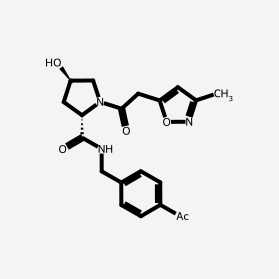 CC(=O)c1ccc(CNC(=O)[C@@H]2C[C@@H](O)CN2C(=O)Cc2cc(C)no2)cc1